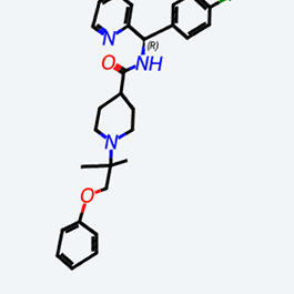 CC(C)(COc1ccccc1)N1CCC(C(=O)N[C@H](c2ccc(F)cc2)c2ccccn2)CC1